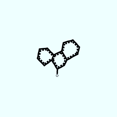 [O]c1cc2ccccc2c2ccccc12